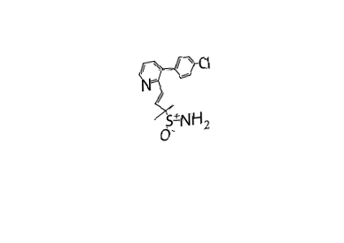 CC(C)(C=Cc1ncccc1-c1ccc(Cl)cc1)[S+](N)[O-]